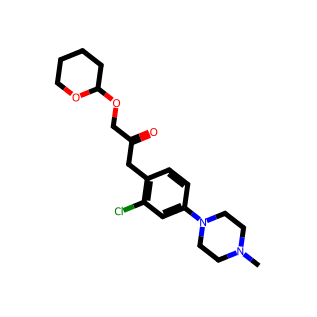 CN1CCN(c2ccc(CC(=O)COC3CCCCO3)c(Cl)c2)CC1